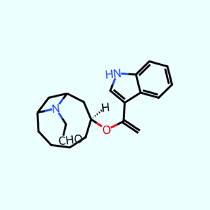 C=C(O[C@H]1CCCCC2CC(C1)N2CC=O)c1c[nH]c2ccccc12